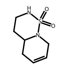 O=S1(=O)NCCC2CC=CCN21